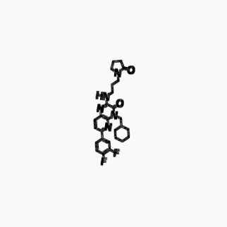 O=C1CCCN1CCCNc1nc2ccc(-c3ccc(F)c(F)c3)nc2n(CC2CCCCC2)c1=O